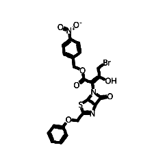 O=C(OCc1ccc([N+](=O)[O-])cc1)C(=C(O)CBr)N1C(=O)C2N=C(COc3ccccc3)SC21